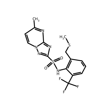 CSCc1cccc(C(F)(F)F)c1NS(=O)(=O)c1nc2nc(C)ccn2n1